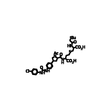 CC(=O)N1CC(c2ccc(NC(=O)Nc3ccc(Cl)cc3)cc2)CC1C(=O)NC(CCSCC(NC(=O)CC(C)(C)C)C(=O)O)C(=O)O